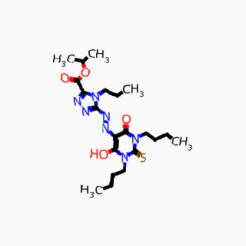 CCCCn1c(O)c(N=Nc2nnc(C(=O)OC(C)C)n2CCC)c(=O)n(CCCC)c1=S